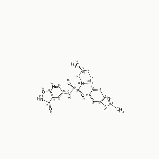 Cc1nc2cc([C@H]3CC[C@H](C)CN3C(=O)C(=O)Nc3cnc4o[nH]c(=O)c4c3)ccc2s1